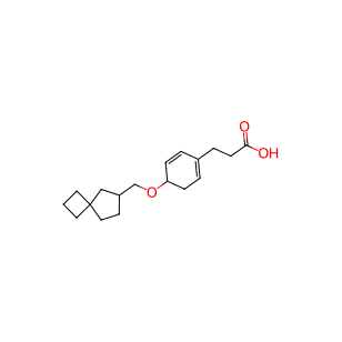 O=C(O)CCC1=CCC(OCC2CCC3(CCC3)C2)C=C1